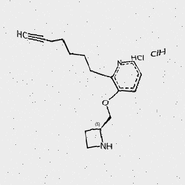 C#CCCCCc1ncccc1OC[C@@H]1CCN1.Cl.Cl